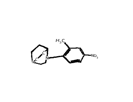 Cc1cc([N+](=O)[O-])ccc1N1CCN2CCC1CC2